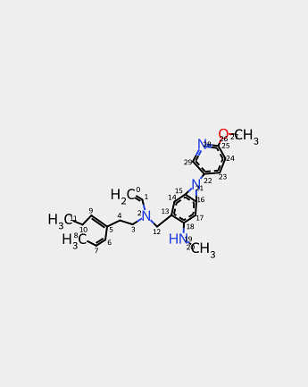 C=CN(CCC(/C=C\C)=C/CC)Cc1cc2c(cc1NC)N2c1ccc(OC)nc1